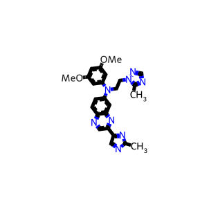 COc1cc(OC)cc(N(CCn2ncnc2C)c2ccc3ncc(C4=NC(C)N=C4)nc3c2)c1